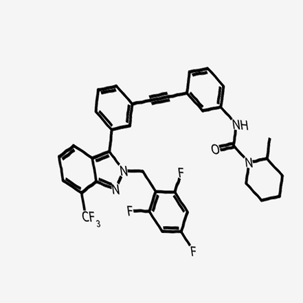 CC1CCCCN1C(=O)Nc1cccc(C#Cc2cccc(-c3c4cccc(C(F)(F)F)c4nn3Cc3c(F)cc(F)cc3F)c2)c1